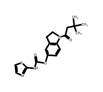 CC(C)(C)CC(=O)N1CCc2cc(OC(=O)Nc3nccs3)ccc21